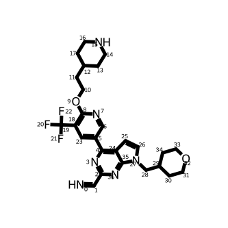 N=Cc1nc(-c2cnc(OCCC3CCNCC3)c(C(F)(F)F)c2)c2ccn(CC3CCOCC3)c2n1